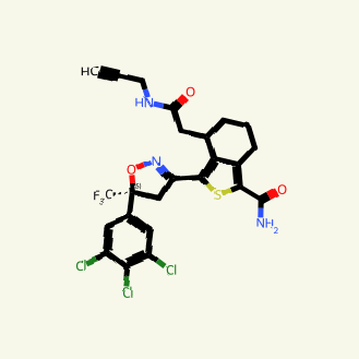 C#CCNC(=O)CC1CCCc2c(C(N)=O)sc(C3=NO[C@@](c4cc(Cl)c(Cl)c(Cl)c4)(C(F)(F)F)C3)c21